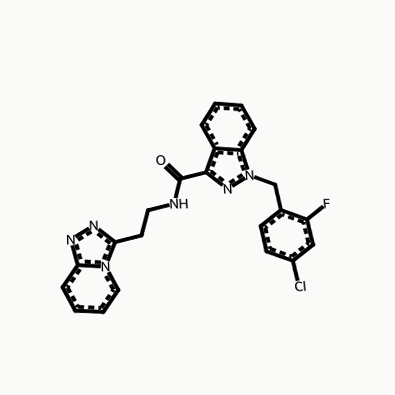 O=C(NCCc1nnc2ccccn12)c1nn(Cc2ccc(Cl)cc2F)c2ccccc12